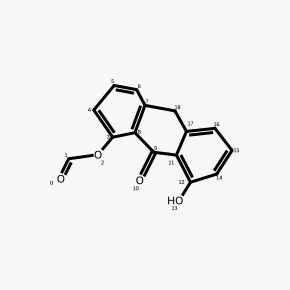 O=COc1cccc2c1C(=O)c1c(O)cccc1C2